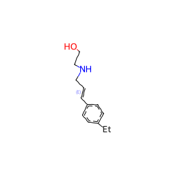 CCc1ccc(/C=C/CNCCO)cc1